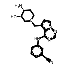 N#Cc1cccc(Nc2ncnn3ccc(CN4CC[C@@H](N)[C@H](O)C4)c23)c1